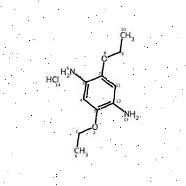 CCOc1cc(N)c(OCC)cc1N.Cl